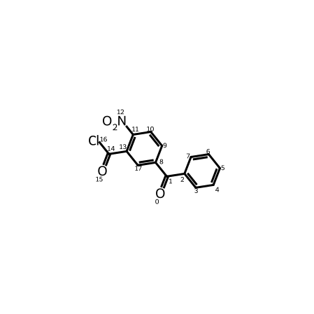 O=C(c1ccccc1)c1ccc([N+](=O)[O-])c(C(=O)Cl)c1